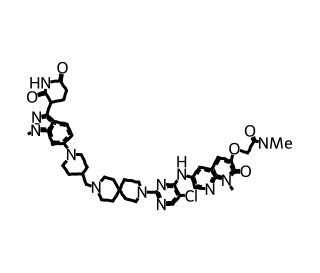 CNC(=O)COc1cc2cc(Nc3nc(N4CCC5(CCN(CC6CCN(c7ccc8c(C9CCC(=O)NC9=O)nn(C)c8c7)CC6)CC5)CC4)ncc3Cl)cnc2n(C)c1=O